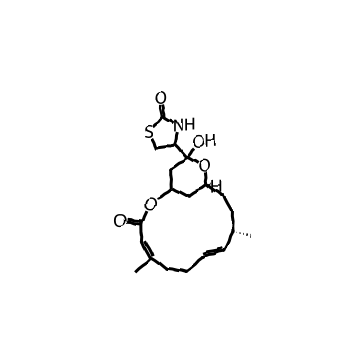 C/C1=C/C(=O)OC2C[C@@H](CC[C@H](C)/C=C/CC1)OC(O)(C1CSC(=O)N1)C2